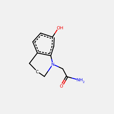 NC(=O)CN1CCCc2ccc(O)cc21